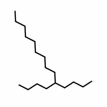 [CH2]CCCC(CCCC)CCCCCCCCC